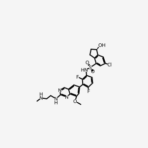 CNCCNc1ncc2cc(-c3c(F)ccc(NS(=O)(=O)c4cc(Cl)cc5c4CC[C@H]5O)c3F)cc(OC)c2n1